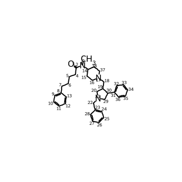 CN(C(=O)CCCCc1ccccc1)C1CCN(CC2CN(Cc3ccccc3)CC2c2ccccc2)CC1